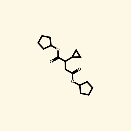 O=C(CC(C(=O)OC1CCCC1)C1CC1)OC1CCCC1